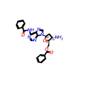 N[C@H]1C[C@H](n2cnc3c(NC(=O)c4ccccc4)ncnc32)O[C@@H]1COC(=O)c1ccccc1